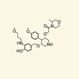 COCCCNc1cc(CO[C@H]2CNC[C@@H](OCC(=O)N3CCOCC3C)C2c2ccc(OC)cc2)ccc1O